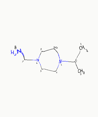 CC(C)N1CCN(CN)CC1